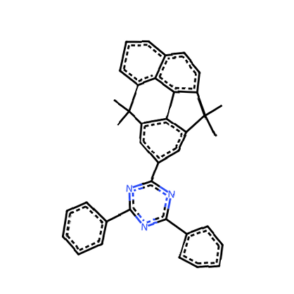 CC1(C)c2cc(-c3nc(-c4ccccc4)nc(-c4ccccc4)n3)cc3c2-c2c1ccc1cccc(c21)C3(C)C